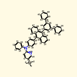 C[Si](C)(C)c1ccc(N(c2ccccc2)c2ccc(-c3c4ccccc4c(-c4cc(-c5ccccc5)cc(-c5ccccc5)c4)c4ccccc34)cc2)nc1